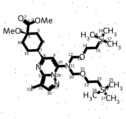 COC(=O)[C@]1(OC)CC[C@@H](c2cc(N(COCC[Si](C)(C)C)COCC[Si](C)(C)C)n3ncc(I)c3n2)CC1